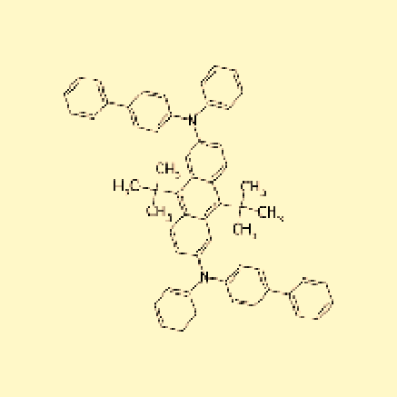 CC(C)(C)c1c2ccc(N(c3ccccc3)c3ccc(-c4ccccc4)cc3)cc2c(C(C)(C)C)c2ccc(N(C3=CC=CCC3)c3ccc(-c4ccccc4)cc3)cc12